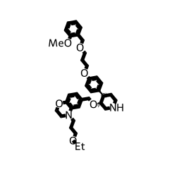 CCOCCCN1CCOc2ccc(CO[C@H]3CNCC[C@@H]3c3ccc(OCCCOCc4ccccc4OC)cc3)cc21